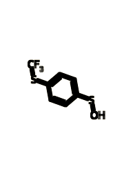 OSc1ccc(SC(F)(F)F)cc1